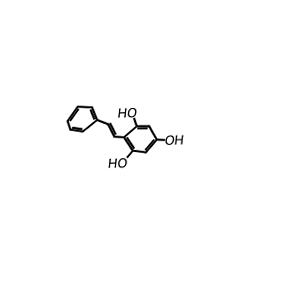 Oc1cc(O)c(C=Cc2ccccc2)c(O)c1